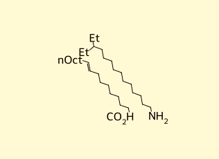 CCC(CC)CCCCCCCCCCCN.CCCCCCCCC=CCCCCCCCC(=O)O